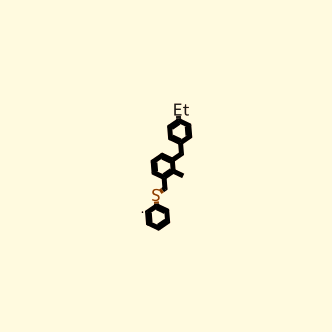 CCc1ccc(Cc2cccc(CSc3[c]cccc3)c2C)cc1